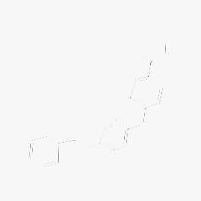 O=C(CBr)c1ccc(Oc2ccc(OCc3ccccc3)cc2)cc1